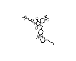 CCCCN1C=CCN(C2([Si](C)(C)C)CCC(CN3C(=O)N(COCC[Si](C)(C)C)C(=O)C34CCS(=O)(=O)CC4)CC2)C1